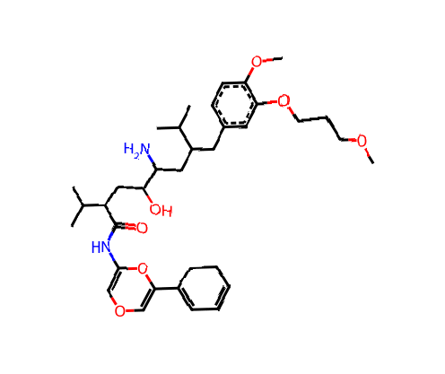 COCCCOc1cc(CC(CC(N)C(O)CC(C(=O)NC2=COC=C(C3=CC=CCC3)O2)C(C)C)C(C)C)ccc1OC